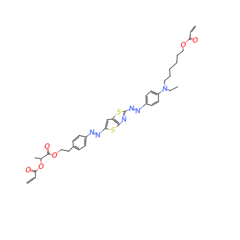 C=CC(=O)OCCCCCCN(CC)c1ccc(/N=N/c2nc3sc(/N=N/c4ccc(CCOC(=O)C(C)OC(=O)C=C)cc4)cc3s2)cc1